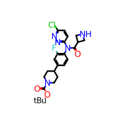 CC(C)(C)OC(=O)N1CCC(c2ccc(N(C(=O)C3CNC3)c3ccc(Cl)nn3)c(F)c2)CC1